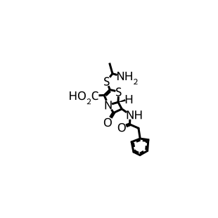 CC(N)SC1=C(C(=O)O)N2C(=O)C(NC(=O)Cc3ccccc3)[C@H]2S1